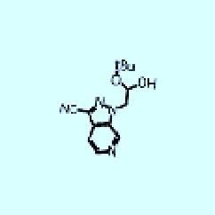 CC(C)(C)OC(O)Cn1nc(C#N)c2ccncc21